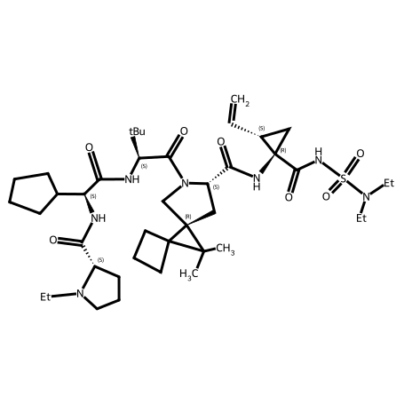 C=C[C@@H]1C[C@]1(NC(=O)[C@@H]1C[C@@]2(CN1C(=O)[C@@H](NC(=O)[C@@H](NC(=O)[C@@H]1CCCN1CC)C1CCCC1)C(C)(C)C)C(C)(C)C21CCC1)C(=O)NS(=O)(=O)N(CC)CC